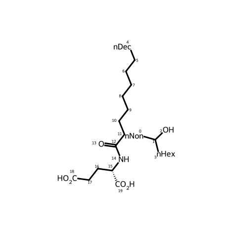 CCCCCCCCCC(O)CCCCCC.CCCCCCCCCCCCCCCCCC(=O)N[C@@H](CCC(=O)O)C(=O)O